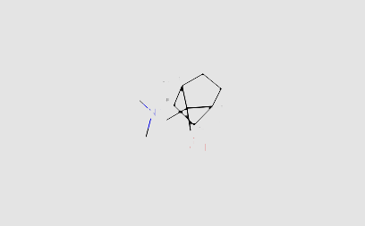 CN(C)[C@@H]1[C@H]2CC[C@@](C)([C@@H]1O)C2(C)C